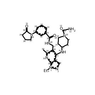 CCn1ncc2c(NC3CCN(C(N)=O)CC3)c(CNC(=O)c3cccc(N4CCCC4=O)c3)c(C)nc21